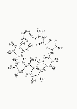 CC(C)[C@H]1CC[C@H](C(=O)N[C@H](Cc2ccccc2)C(=O)O)CC1.C[C@H]1O[C@H](O[C@H]2[C@H](O)[C@@H](O)[C@@H](O[C@H]3[C@H](O)[C@@H](O)[C@H](O)O[C@@H]3CO)O[C@@H]2CO)[C@H](O)[C@@H](O)[C@@H]1N[C@H]1C=C(CO)[C@@H](O)[C@H](O)[C@H]1O